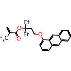 C=C(C(=O)OC(CC)(CC)CCOc1cccc2cc3ccccc3cc12)C(F)(F)F